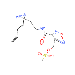 C#CCCC1(CCNC(=O)c2nonc2COS(C)(=O)=O)N=N1